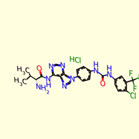 CC(C)[C@@H](N)C(=O)Nc1ncnc2c1ncn2-c1ccc(NC(=O)Nc2ccc(Cl)c(C(F)(F)F)c2)cc1.Cl